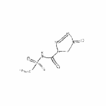 CCCCCS(=O)(=O)NC(=O)N1CC(=O)N=N1